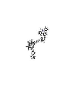 CC/C(=C(\c1ccccc1)c1ccc(OCCN(C)C(=O)CCCCCCC(=O)N[C@H](C(=O)N2C[C@H](C)C[C@H]2C(=O)NCc2ccc(-c3scnc3C)cc2)C(C)(C)C)cc1)c1ccccc1